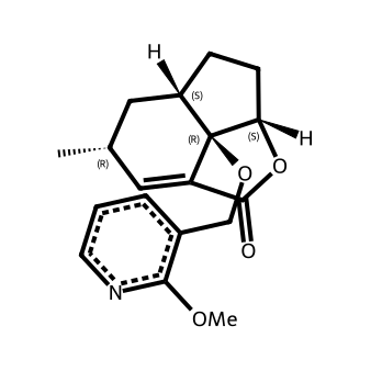 COc1ncccc1CO[C@@]12C3=C[C@H](C)C[C@@H]1CC[C@@H]2OC3=O